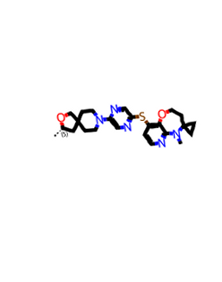 C[C@H]1CC2(CCN(c3cnc(Sc4ccnc5c4OCCC4(CC4)N5C)cn3)CC2)CO1